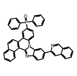 O=P(c1ccccc1)(c1ccccc1)c1ccc2c(c1)c1ccc3ccccc3c1c1nc3ccc(-c4cc5ccccc5cn4)cc3n21